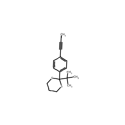 CC#Cc1ccc(C2(C(C)(C)C)SCCCS2)cc1